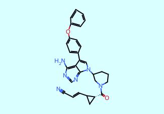 N#CC=CC1C[C@H]1C(=O)N1CCCC(n2cc(-c3ccc(Oc4ccccc4)cc3)c3c(N)ncnc32)C1